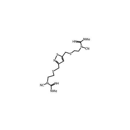 CNC(=N)N(C#N)CCSCc1cc(CSCCN(C#N)C(=N)NC)sn1